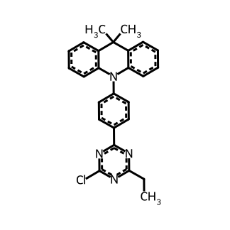 CCc1nc(Cl)nc(-c2ccc(N3c4ccccc4C(C)(C)c4ccccc43)cc2)n1